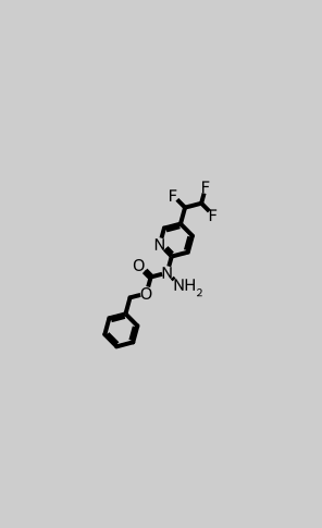 NN(C(=O)OCc1ccccc1)c1ccc(C(F)C(F)F)cn1